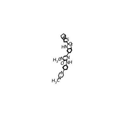 CN1CCN(c2ccc(Nc3nc(-c4ccc(F)c(NC(=O)c5cc6c(s5)C5CCC6CC5)c4)cn(C)c3=O)cc2)CC1